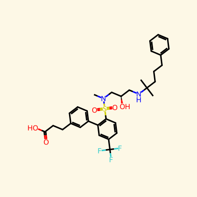 CN(C[C@H](O)CNC(C)(C)CCCc1ccccc1)S(=O)(=O)c1ccc(C(F)(F)F)cc1-c1cccc(CCC(=O)O)c1